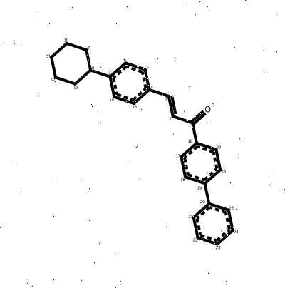 O=C(C=Cc1ccc(C2CCCCC2)cc1)c1ccc(-c2ccccc2)cc1